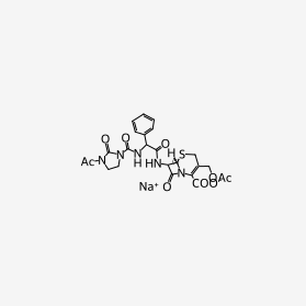 CC(=O)OCC1=C(C(=O)[O-])N2C(=O)C(NC(=O)C(NC(=O)N3CCN(C(C)=O)C3=O)c3ccccc3)[C@@H]2SC1.[Na+]